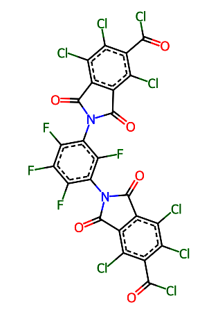 O=C(Cl)c1c(Cl)c(Cl)c2c(c1Cl)C(=O)N(c1c(F)c(F)c(F)c(N3C(=O)c4c(Cl)c(Cl)c(C(=O)Cl)c(Cl)c4C3=O)c1F)C2=O